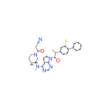 CC(C(=O)n1ccc2c(N(C)[C@H]3CN(C(=O)CC#N)CC[C@H]3C)ncnc21)c1ccc(-c2ccccc2)c(F)c1